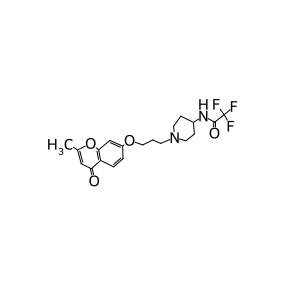 Cc1cc(=O)c2ccc(OCCCN3CCC(NC(=O)C(F)(F)F)CC3)cc2o1